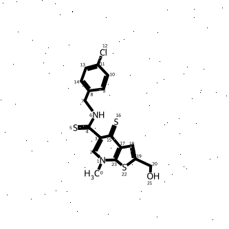 Cn1cc(C(=S)NCc2ccc(Cl)cc2)c(=S)c2cc(CO)sc21